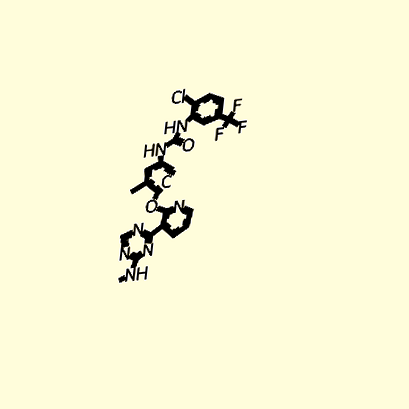 CNc1ncnc(-c2cccnc2Oc2ccc(NC(=O)Nc3cc(C(F)(F)F)ccc3Cl)cc2C)n1